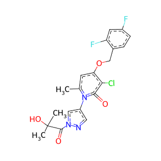 Cc1cc(OCc2ccc(F)cc2F)c(Cl)c(=O)n1-c1cnn(C(=O)C(C)(C)O)c1